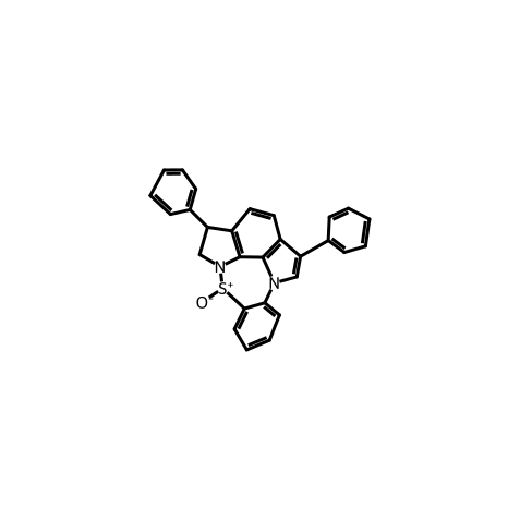 [O-][s+]1c2ccccc2n2cc(-c3ccccc3)c3ccc4c(c32)n1CC4c1ccccc1